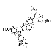 CCC(C)c1ccc(N(c2ccc(C)cc2)c2ccc3c(c2)CCc2cc(N(c4ccc(C)cc4)c4ccc(C(C)(CC)CC)cc4)ccc2-3)cc1